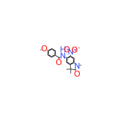 COc1ccc(C(=O)Nc2cc3c(cc2[N+](=O)[O-])N(C)C(=O)C3(C)C)cc1